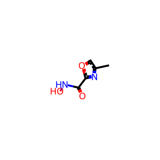 Cc1coc(C(=O)NO)n1